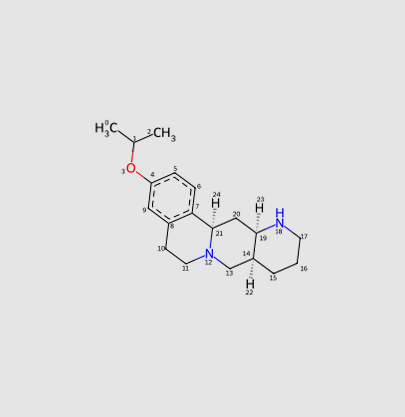 CC(C)Oc1ccc2c(c1)CCN1C[C@@H]3CCCN[C@@H]3C[C@H]21